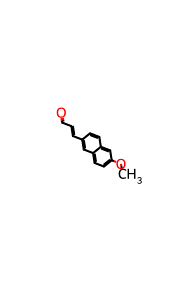 COc1ccc2cc(C=CC=O)ccc2c1